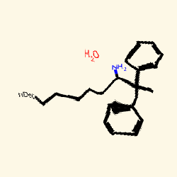 CCCCCCCCCCCCCCCC(N)C(C)(c1ccccc1)c1ccccc1.O